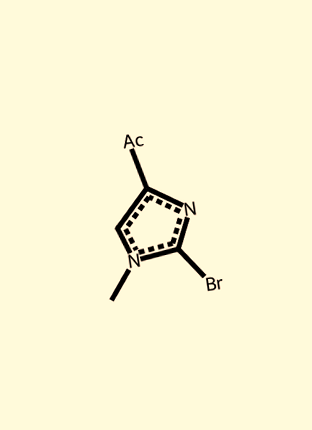 CC(=O)c1cn(C)c(Br)n1